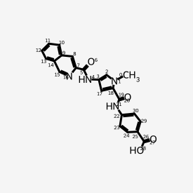 Cn1cc(NC(=O)c2cc3ccccc3cn2)cc1C(=O)Nc1ccc(C(=O)O)cc1